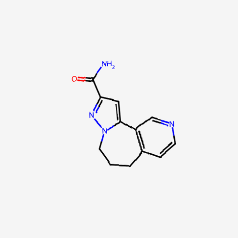 NC(=O)c1cc2n(n1)CCCc1ccncc1-2